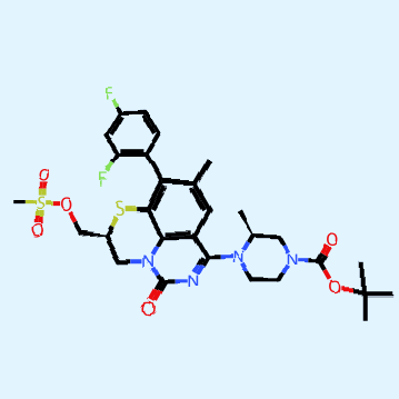 Cc1cc2c(N3CCN(C(=O)OC(C)(C)C)C[C@@H]3C)nc(=O)n3c2c(c1-c1ccc(F)cc1F)S[C@H](COS(C)(=O)=O)C3